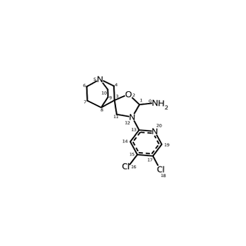 NC1OC2(CN3CCC2CC3)CN1c1cc(Cl)c(Cl)cn1